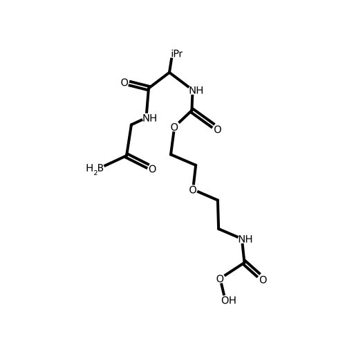 BC(=O)CNC(=O)C(NC(=O)OCCOCCNC(=O)OO)C(C)C